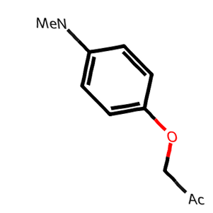 CNc1ccc(OCC(C)=O)cc1